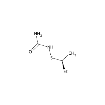 CC[C@H](C)SNC(N)=O